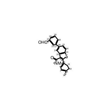 CNC(=O)c1c(C2=CC=C(F)CC2)sc2ccc(-c3cccc(C=O)c3)cc12